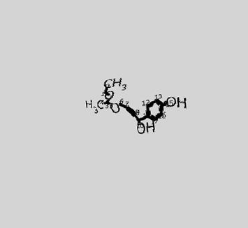 CCOC(C)OCC#CC(O)c1ccc(O)cc1